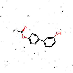 CCCC(=O)Oc1ccc(-c2cccc(O)c2)cc1